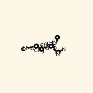 Cc1c(COc2cc(OCc3cncc(C#N)c3)c(CNCc3ccccc3)cc2Cl)cccc1-c1cccc(OCCCN2CCCC2)c1C